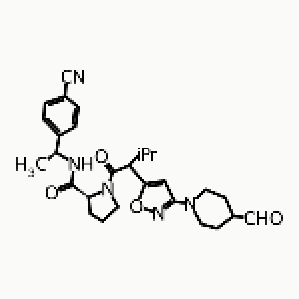 CC(C)C(C(=O)N1CCC[C@H]1C(=O)N[C@@H](C)c1ccc(C#N)cc1)c1cc(N2CCC(C=O)CC2)no1